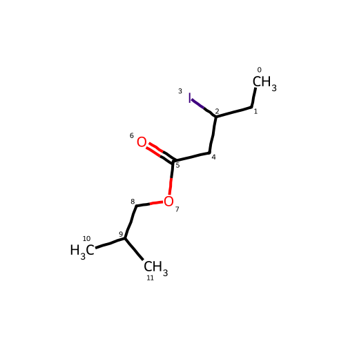 CCC(I)CC(=O)OCC(C)C